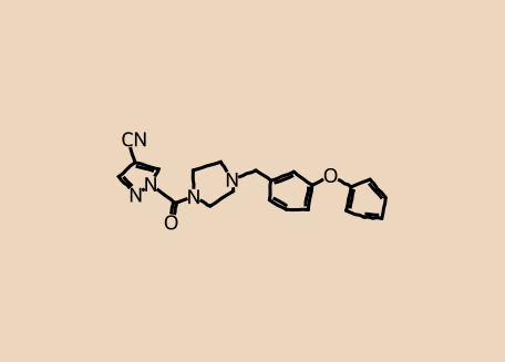 N#Cc1cnn(C(=O)N2CCN(Cc3cccc(Oc4ccccc4)c3)CC2)c1